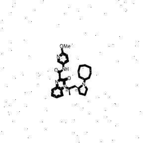 COc1ccc(NC(=O)c2nc3ccccc3n([C@H](C)C[C@@H]3CCCN3C3CCCCCCC3)c2=O)cn1